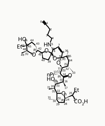 C#CCCCN[C@@H]1C=C[C@]2(O[C@H]([C@@H](CCC)C(=O)[C@@H](C)[C@@H](O)[C@H](C)C3O[C@@H](C(CC)C(=O)O)CC[C@@H]3C)[C@@H](C)C[C@H]2C)O[C@@]12CC[C@@H]([C@H]1CC[C@](O)(CC)[C@H](C)O1)O2